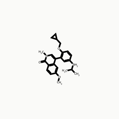 COc1ccc2c(=O)n(C)cc(-c3cc([SiH2]C(C)C)ccc3OCC3CC3)c2c1